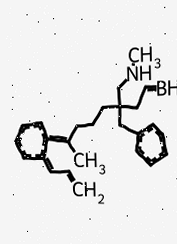 B=CCC(CCC/C(C)=c1\cccc\c1=C\C=C)(CNC)Cc1ccccc1